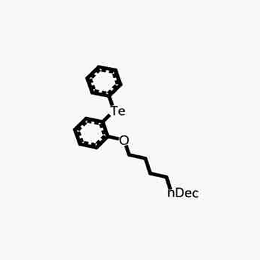 CCCCCCCCCCCCCCOc1ccccc1[Te]c1ccccc1